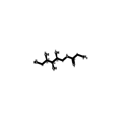 NCC(=O)OC[C@H](O)[C@@H](O)[C@H](O)CO